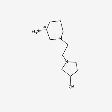 N[C@@H]1CCCN(CCN2CCC(O)C2)C1